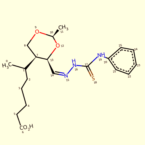 CC(CCCCC(=O)O)[C@H]1CO[C@@H](C)O[C@H]1/C=N\NC(=S)Nc1ccccc1